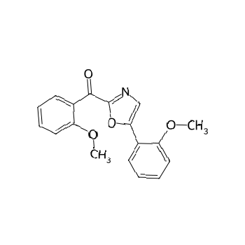 COc1ccccc1C(=O)c1ncc(-c2ccccc2OC)o1